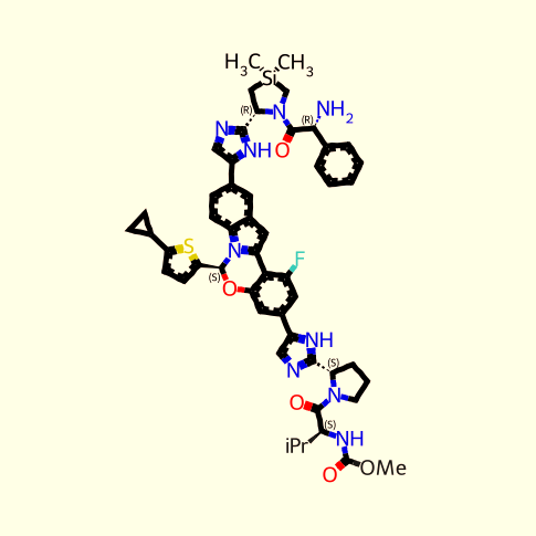 COC(=O)N[C@H](C(=O)N1CCC[C@H]1c1ncc(-c2cc(F)c3c(c2)O[C@@H](c2ccc(C4CC4)s2)n2c-3cc3cc(-c4cnc([C@@H]5C[Si](C)(C)CN5C(=O)[C@H](N)c5ccccc5)[nH]4)ccc32)[nH]1)C(C)C